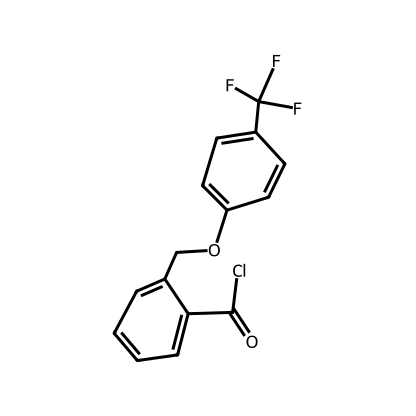 O=C(Cl)c1ccccc1COc1ccc(C(F)(F)F)cc1